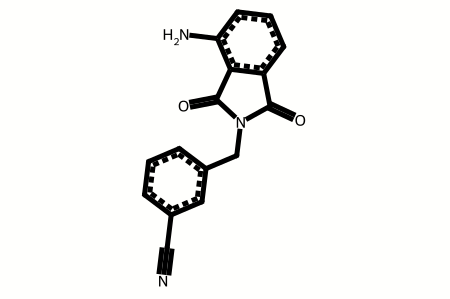 N#Cc1cccc(CN2C(=O)c3cccc(N)c3C2=O)c1